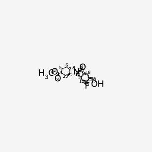 COC(=O)[C@H]1CC[C@H](CN2Cc3cc(F)c(CO)cc3C2=O)CC1